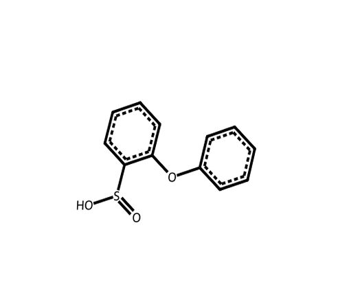 O=S(O)c1ccccc1Oc1ccccc1